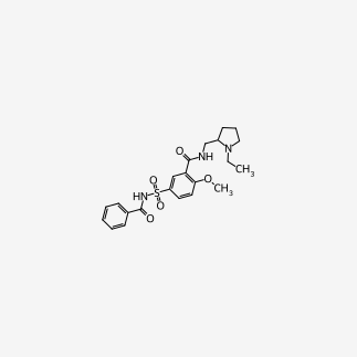 CCN1CCCC1CNC(=O)c1cc(S(=O)(=O)NC(=O)c2ccccc2)ccc1OC